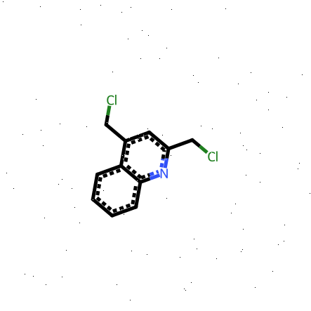 ClCc1cc(CCl)c2ccccc2n1